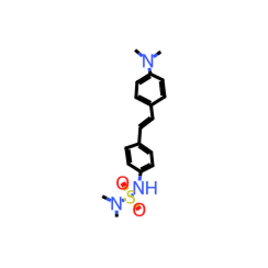 CN(C)c1ccc(C=Cc2ccc(NS(=O)(=O)N(C)C)cc2)cc1